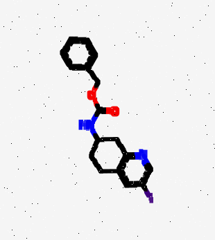 O=C(NC1CCc2cc(I)cnc2C1)OCc1ccccc1